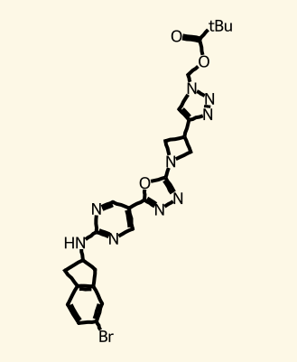 CC(C)(C)C(=O)OCn1cc(C2CN(c3nnc(-c4cnc(NC5Cc6ccc(Br)cc6C5)nc4)o3)C2)nn1